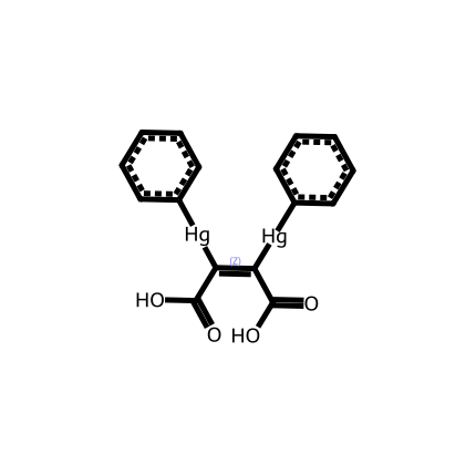 O=C(O)/[C]([Hg][c]1ccccc1)=[C](/[Hg][c]1ccccc1)C(=O)O